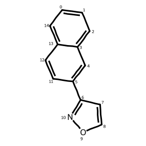 c1ccc2cc(-c3ccon3)ccc2c1